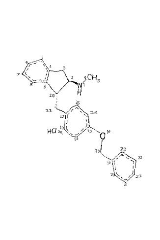 CN[C@@H]1Cc2ccccc2[C@H]1Cc1ccc(OCc2ccccc2)cc1.Cl